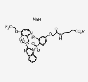 Cc1c(OCC(F)(F)F)ccnc1C[S+]([O-])c1nc2ccccc2n1S(=O)(=O)c1ccc(OCC(=O)NCCCC(=O)O)cc1C(C)C.[NaH]